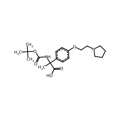 CC(C)(C)OC(=O)NC(C)(C(=O)O)c1ccc(OCCN2CCCC2)cc1